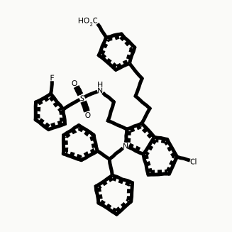 O=C(O)c1ccc(CCCc2c(CCNS(=O)(=O)c3ccccc3F)n(C(c3ccccc3)c3ccccc3)c3ccc(Cl)cc23)cc1